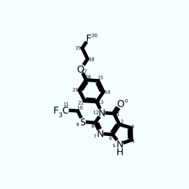 O=c1c2cc[nH]c2nc(SCC(F)(F)F)n1-c1ccc(OCCF)cc1